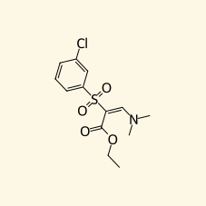 CCOC(=O)C(=CN(C)C)S(=O)(=O)c1cccc(Cl)c1